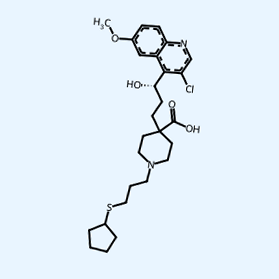 COc1ccc2ncc(Cl)c([C@@H](O)CCC3(C(=O)O)CCN(CCCSC4CCCC4)CC3)c2c1